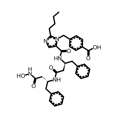 CCCCc1ncc(C(=O)N[C@H](CC(=O)N[C@@H](CC(=O)NO)Cc2ccccc2)Cc2ccccc2)n1Cc1ccc(C(=O)O)cc1